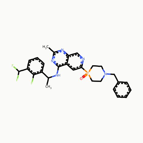 Cc1nc(NC(C)c2cccc(C(F)F)c2F)c2cc(P3(=O)CCN(Cc4ccccc4)CC3)ncc2n1